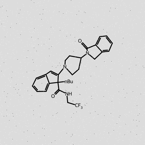 CCCCC1(C(=O)NCC(F)(F)F)C(N2CCC(N3Cc4ccccc4C3=O)CC2)=Cc2ccccc21